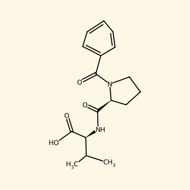 CC(C)[C@H](NC(=O)[C@@H]1CCCN1C(=O)c1ccccc1)C(=O)O